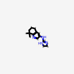 CC1(C)CCCc2cc(NC3=NCCN3)cnc21